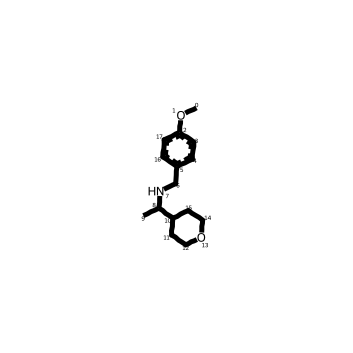 COc1ccc(CNC(C)C2CCOCC2)cc1